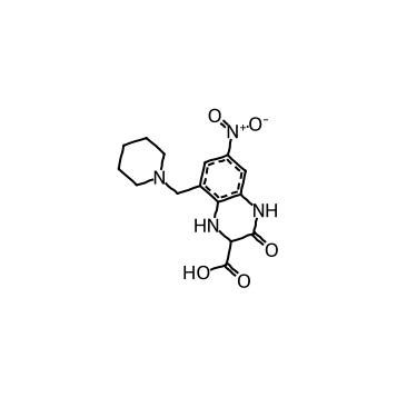 O=C(O)C1Nc2c(CN3CCCCC3)cc([N+](=O)[O-])cc2NC1=O